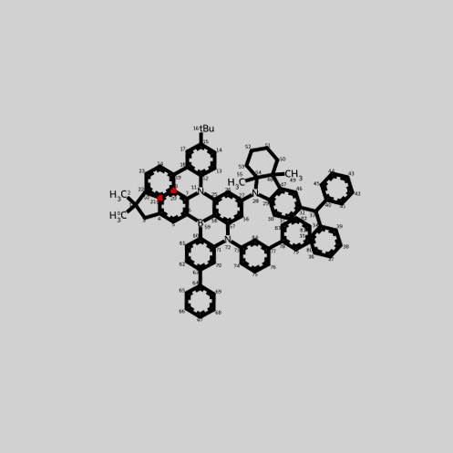 CC1(C)Cc2cc3c(cc2C1)N(c1ccc(C(C)(C)C)cc1-c1ccccc1)c1cc(N2c4ccc(C(c5ccccc5)c5ccccc5)cc4C4(C)CCCCC24C)cc2c1B3c1ccc(-c3ccccc3)cc1N2c1cccc(-c2ccccc2)c1